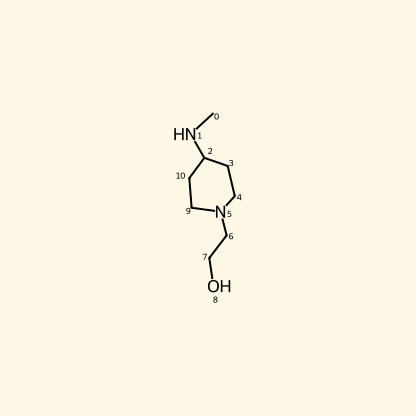 CNC1CCN(CCO)CC1